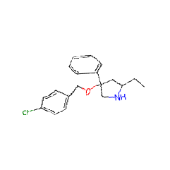 CCC1CC(OCc2ccc(Cl)cc2)(c2ccccc2)CN1